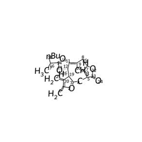 C=C1OC2CC3=C[C@@H](C/C(C)=C/[C@@H](OC(=O)C(C)CCCC)[C@@H]2C1=C)OC3=O